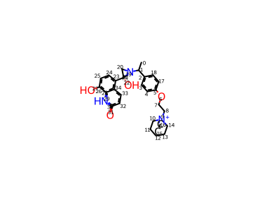 CC(c1ccc(OCC[N+]23CCC(CC2)CC3)cc1)N1C[C@]1(O)c1ccc(O)c2[nH]c(=O)ccc12